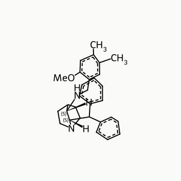 COc1cc(C)c(C)cc1CN[C@H]1C2CCN(CC2)[C@H]1C(c1ccccc1)c1ccccc1